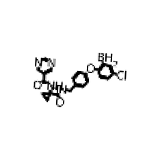 Bc1cc(Cl)ccc1Oc1ccc(CNC(=O)C2(NC(=O)c3cncnc3)CC2)cc1